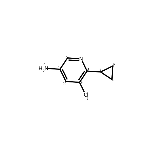 Nc1cnc(C2CC2)c(Cl)c1